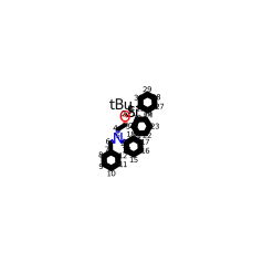 CC(C)(C)[Si](OCCN(Cc1ccccc1)c1ccccc1)(c1ccccc1)c1ccccc1